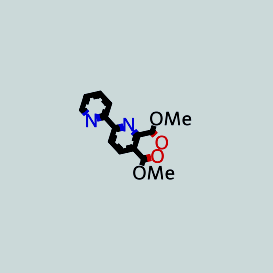 COC(=O)c1ccc(-c2ccccn2)nc1C(=O)OC